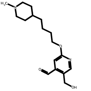 CN1CCC(CCCCOc2cc(C=O)c(CO)cn2)CC1